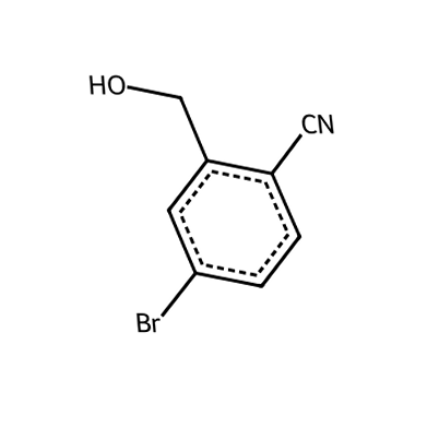 N#Cc1ccc(Br)cc1CO